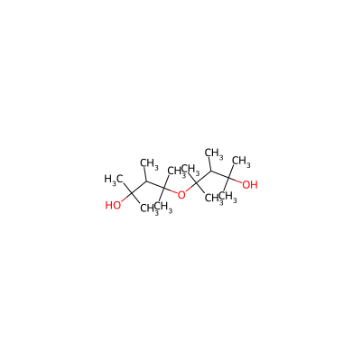 CC(C(C)(C)O)C(C)(C)OC(C)(C)C(C)C(C)(C)O